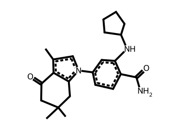 Cc1cn(-c2ccc(C(N)=O)c(NC3CCCC3)c2)c2c1C(=O)CC(C)(C)C2